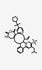 C=CC1C[n+]2ccc(C(C)(C)C3CCCC3)cc2C2=C(CCC3c4ccccc4-c4cc(CC(C)C)c([Si](C)(C)C)c[n+]4C13)CNC(=C)OC2=C